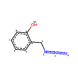 [N-]=[N+]=NCc1ccccc1O